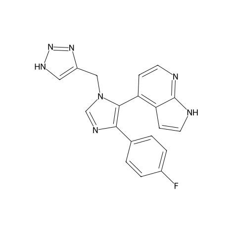 Fc1ccc(-c2ncn(Cc3c[nH]nn3)c2-c2ccnc3[nH]ccc23)cc1